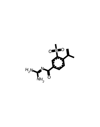 C=C(C)c1ccc(C(=O)N=C(N)N)cc1S(C)(=O)=O